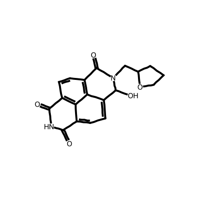 O=C1NC(=O)c2ccc3c4c(ccc1c24)C(=O)N(CC1CCCO1)C3O